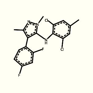 Cc1cc(Cl)c(Nc2c(-c3ccc(F)cc3F)c(C)nn2C)c(Cl)c1